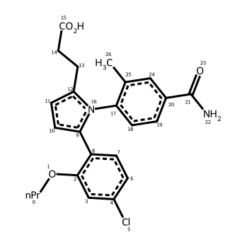 CCCOc1cc(Cl)ccc1-c1ccc(CCC(=O)O)n1-c1ccc(C(N)=O)cc1C